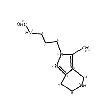 Cc1c2c(nn1CCCNC=O)CCNC2